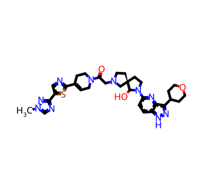 Cn1cnc(-c2cnc(C3=CCN(C(=O)CN4CC[C@]5(CCN(c6ccc7[nH]nc(C8CCOCC8)c7n6)C5O)C4)CC3)s2)n1